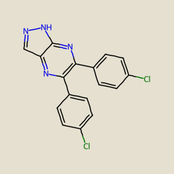 Clc1ccc(-c2nc3cn[nH]c3nc2-c2ccc(Cl)cc2)cc1